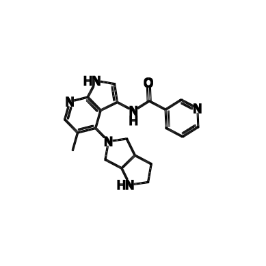 Cc1cnc2[nH]cc(NC(=O)c3cccnc3)c2c1N1CC2CCNC2C1